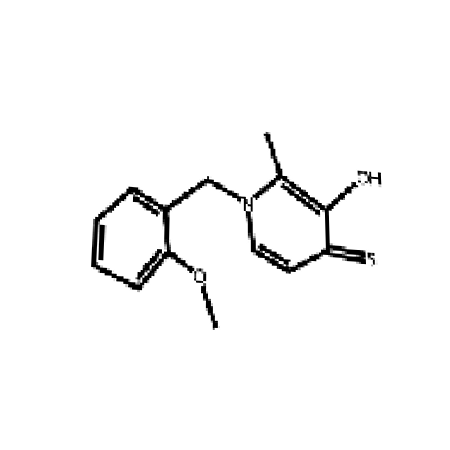 COc1ccccc1Cn1ccc(=S)c(O)c1C